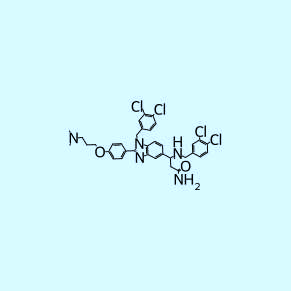 CN(C)CCCOc1ccc(-c2nc3cc(C(CC(N)=O)NCc4ccc(Cl)c(Cl)c4)ccc3n2Cc2ccc(Cl)c(Cl)c2)cc1